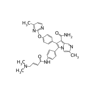 Cc1cn2c(-c3ccc(NC(=O)/C=C/CN(C)C)cc3)c(-c3ccc(Oc4nccc(C)n4)cc3)c(C(N)=O)c2cn1